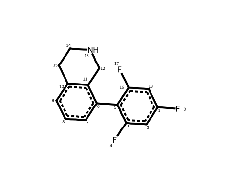 Fc1cc(F)c(-c2cccc3c2CNCC3)c(F)c1